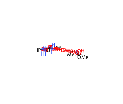 COC(=O)[C@H](CCC(=O)NCCOCCOCCOCCOCCOCCOCCOCCOCCOCCOCCOCCOCCC(=O)N1C[C@H](O)C[C@H]1COC(c1ccccc1)(c1ccc(OC)cc1)c1ccc(OC)cc1)NC(=O)c1ccc(N(Cc2cnc3nc(NC(=O)C(C)C)[nH]c(=O)c3n2)C(=O)C(F)(F)F)cc1